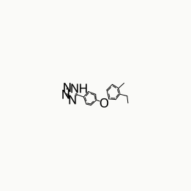 CCc1cc(Oc2ccc(-c3nnn[nH]3)cc2)ccc1C